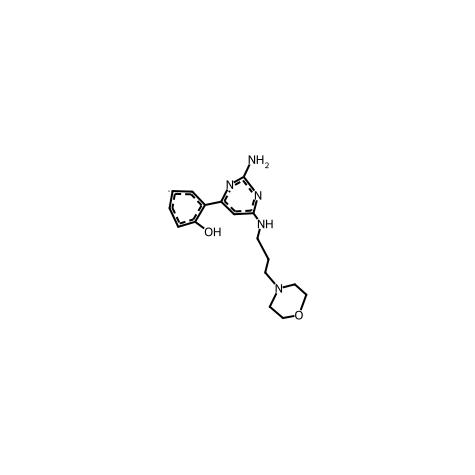 Nc1nc(NCCCN2CCOCC2)cc(-c2c[c]ccc2O)n1